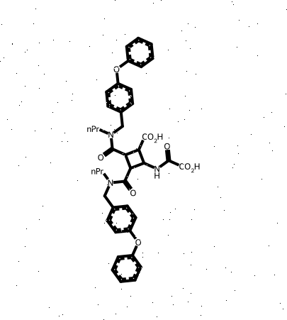 CCCN(Cc1ccc(Oc2ccccc2)cc1)C(=O)C1C(NC(=O)C(=O)O)C(C(=O)O)C1C(=O)N(CCC)Cc1ccc(Oc2ccccc2)cc1